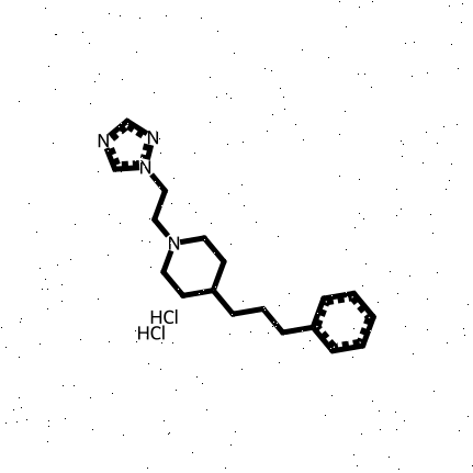 Cl.Cl.c1ccc(CCCC2CCN(CCn3cncn3)CC2)cc1